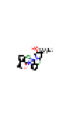 CCOC(=O)[C@]1(C)CCN(c2nn(C(=O)c3c(Cl)cccc3C3CC3)c3cccc(F)c23)C[C@H]1O